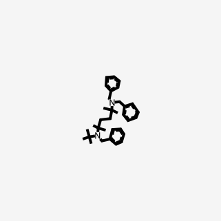 CC(C)(C)N(Cc1ccccc1)C(C)(C)CCC(C)(C)N(Cc1ccccc1)Cc1ccccc1